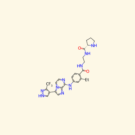 CCc1cc(Nc2nccn3c(-c4c[nH]nc4C(F)(F)F)cnc23)ccc1C(=O)NCCNC(=O)[C@@H]1CCCN1